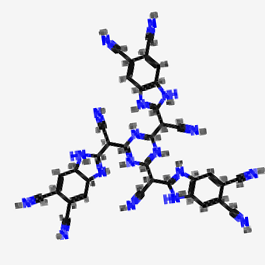 N#CC1=CC2N=C(C(C#N)c3nc(C(C#N)c4nc5cc(C#N)c(C#N)cc5[nH]4)nc(C(C#N)c4nc5cc(C#N)c(C#N)cc5[nH]4)n3)NC2C=C1C#N